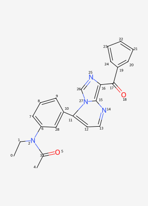 CCN(C(C)=O)c1cccc(-c2ccnc3c(C(=O)c4ccccc4)ncn23)c1